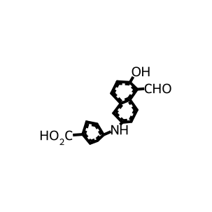 O=Cc1c(O)ccc2cc(Nc3ccc(C(=O)O)cc3)ccc12